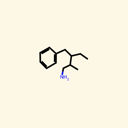 CCC(Cc1ccccc1)C(C)CN